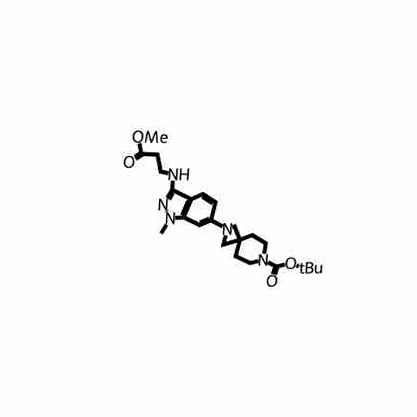 COC(=O)CCNc1nn(C)c2cc(N3CC4(CCN(C(=O)OC(C)(C)C)CC4)C3)ccc12